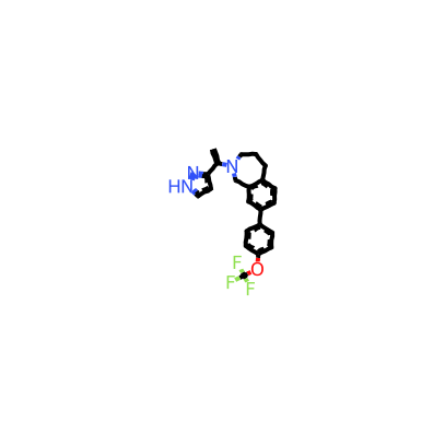 C=C(c1cc[nH]n1)N1CCCc2ccc(-c3ccc(OC(F)(F)F)cc3)cc2C1